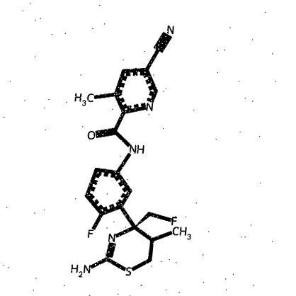 Cc1cc(C#N)cnc1C(=O)Nc1ccc(F)c([C@@]2(CF)N=C(N)SCC2C)c1